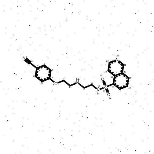 N#Cc1ccc(OCCNCCNS(=O)(=O)c2cccc3cnccc23)cc1